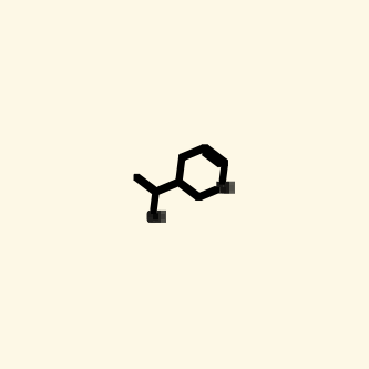 CC(O)C1CC=CNC1